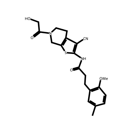 COc1ccc(C)cc1CCC(=O)Nc1sc2c(c1C#N)CCN(C(=O)CO)C2